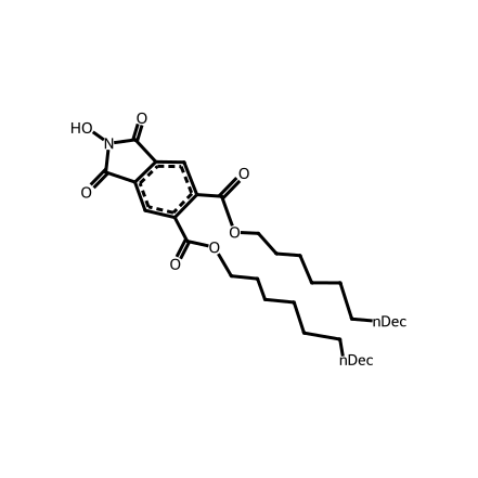 CCCCCCCCCCCCCCCCOC(=O)c1cc2c(cc1C(=O)OCCCCCCCCCCCCCCCC)C(=O)N(O)C2=O